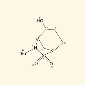 CC(C)(C)N1C2CC(CCC2O)S1(=O)=O